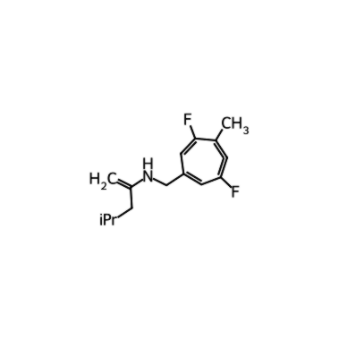 C=C(CC(C)C)NCC1=CC(F)=C=C(C)C(F)=C1